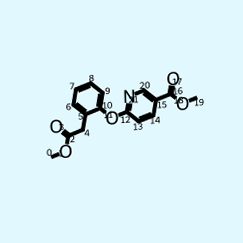 COC(=O)Cc1ccccc1Oc1ccc(C(=O)OC)cn1